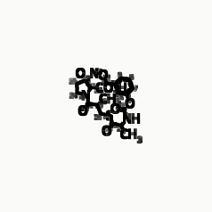 CC(NC(=O)Oc1cccc(CO[N+](=O)[O-])c1)C(=O)SC[C@@H](C)C(=O)N1CCC[C@H]1C(=O)O